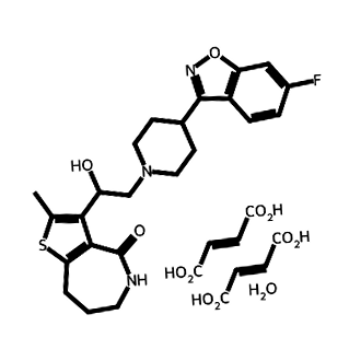 Cc1sc2c(c1C(O)CN1CCC(c3noc4cc(F)ccc34)CC1)C(=O)NCCC2.O.O=C(O)C=CC(=O)O.O=C(O)C=CC(=O)O